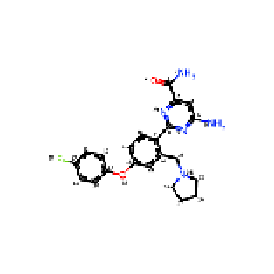 NC(=O)c1cc(N)nc(-c2ccc(Oc3ccc(F)cc3)cc2CN2CCCC2)n1